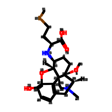 CO[C@@]12CC[C@H](N[C@@H](CCSC)C(=O)O)[C@@H]3Oc4c(O)ccc5c4[C@@]31CCN(C)[C@@H]2C5